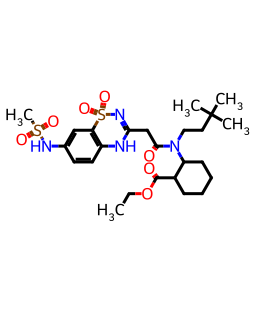 CCOC(=O)C1CCCCC1N(CCC(C)(C)C)C(=O)CC1=NS(=O)(=O)c2cc(NS(C)(=O)=O)ccc2N1